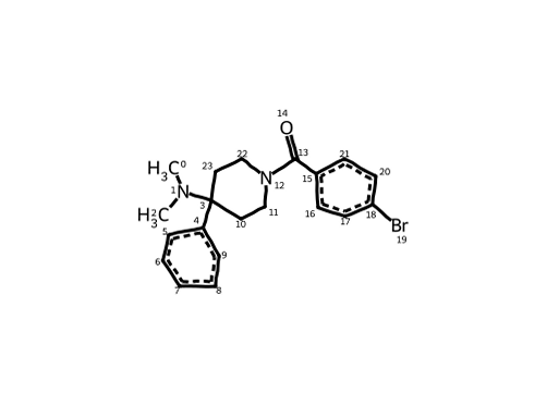 CN(C)C1(c2ccccc2)CCN(C(=O)c2ccc(Br)cc2)CC1